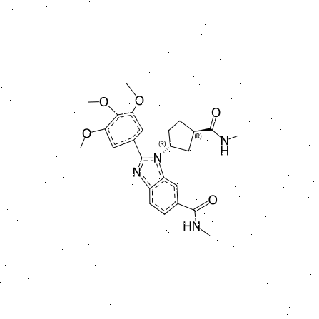 CNC(=O)c1ccc2nc(-c3cc(OC)c(OC)c(OC)c3)n([C@@H]3CC[C@@H](C(=O)NC)C3)c2c1